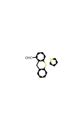 O=Cc1cccc2c1Cc1ccccc1S2.c1ccsc1